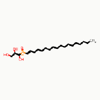 CCCCCCCCCCCCCCCCC=C[PH](=O)C(O)C(O)CO